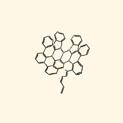 C=C/C=C\C=C(/C)c1cccc(-c2ccccc2)c1N1c2cccc3c2B(n2c1nc1ccccc12)n1c(nc2ccccc21)N3c1c(-c2ccccc2)cccc1-c1ccccc1